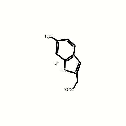 O=C([O-])Cc1cc2ccc(C(F)(F)F)cc2[nH]1.[Li+]